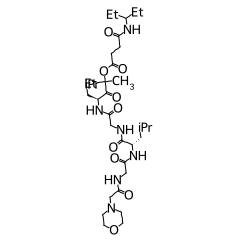 CCC(CC)NC(=O)CCC(=O)OC(C)(CC)C(=O)[C@H](CC(C)C)NC(=O)CNC(=O)[C@H](CC(C)C)NC(=O)CNC(=O)CN1CCOCC1